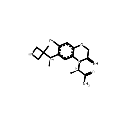 CC(C)c1cc2c(cc1[C@@H](C)C1(C)CNC1)N([C@H](C)C(N)=O)C(=N)CO2